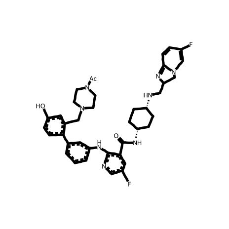 CC(=O)N1CCN(Cc2cc(O)ccc2-c2cccc(Nc3ncc(F)cc3C(=O)N[C@H]3CC[C@@H](NCC4CN5C=C(F)C=CC5=N4)CC3)c2)CC1